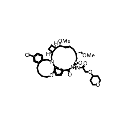 COC[C@H]1C/C=C/[C@H](OC)[C@@H]2CC[C@H]2CN2Cc3ccc(Cl)cc3CCCCOc3ccc(cc32)C(=O)N=[S@@](=O)(NC(=O)COC2CCOCC2)C1